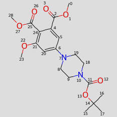 COC(=O)c1cc(N2CCN(C(=O)OC(C)(C)C)CC2)cc(OC)c1C(=O)OC